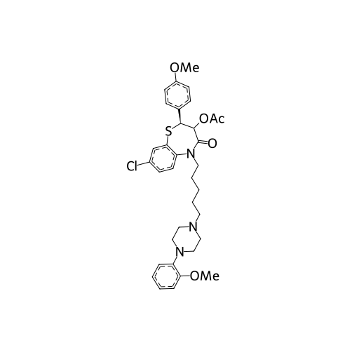 COc1ccc([C@@H]2Sc3cc(Cl)ccc3N(CCCCCN3CCN(c4ccccc4OC)CC3)C(=O)C2OC(C)=O)cc1